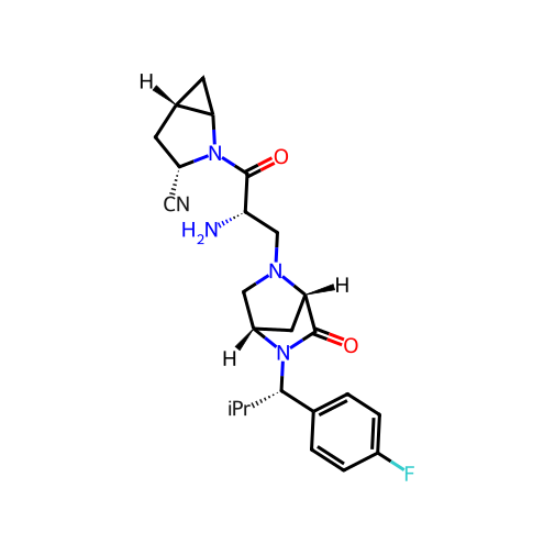 CC(C)[C@@H](c1ccc(F)cc1)N1C(=O)[C@@H]2C[C@H]1CN2C[C@H](N)C(=O)N1C2C[C@H]2C[C@H]1C#N